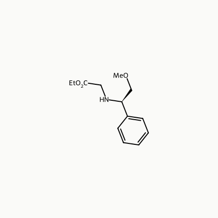 CCOC(=O)CN[C@@H](COC)c1ccccc1